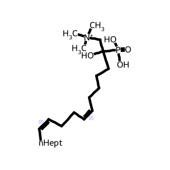 CCCCCCC/C=C\CC/C=C\CCCCC(O)(C[N+](C)(C)C)P(=O)(O)O